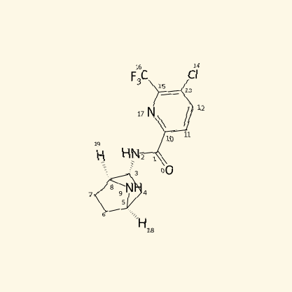 O=C(N[C@@H]1C[C@H]2CC[C@@H]1N2)c1ccc(Cl)c(C(F)(F)F)n1